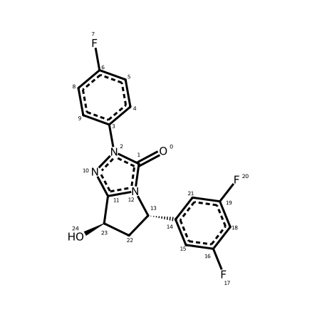 O=c1n(-c2ccc(F)cc2)nc2n1[C@H](c1cc(F)cc(F)c1)C[C@H]2O